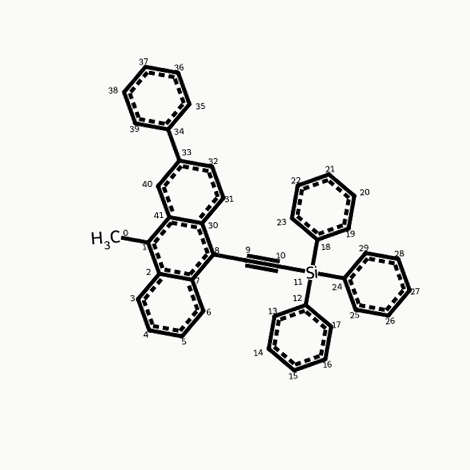 Cc1c2ccccc2c(C#C[Si](c2ccccc2)(c2ccccc2)c2ccccc2)c2ccc(-c3ccccc3)cc12